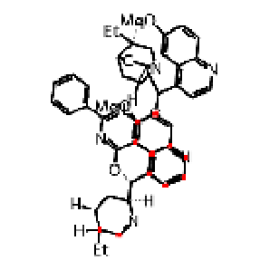 CC[C@H]1CN2CCC1C[C@H]2[C@H](Oc1nc(-c2ccccc2)nc(O[C@H](c2ccnc3ccc(OC)cc23)[C@@H]2C[C@@H]3CCN2C[C@@H]3CC)c1-c1ccccc1)c1ccnc2ccc(OC)cc12